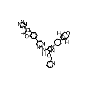 C[C@@H](Cn1cnnn1)Oc1cc(-c2cnc(Nc3cn([C@H]4CC[C@H](N5[C@@H]6CC[C@H]5COC6)CC4)nc3OCc3ccccn3)nc2)ccc1Cl